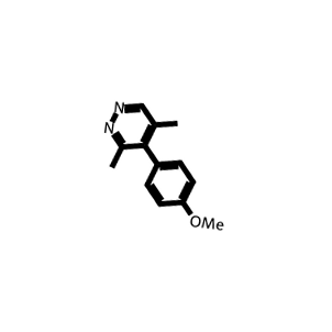 COc1ccc(-c2c(C)cnnc2C)cc1